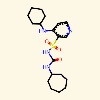 O=C(NC1CCCCCC1)NS(=O)(=O)c1cnccc1NC1CCCCC1